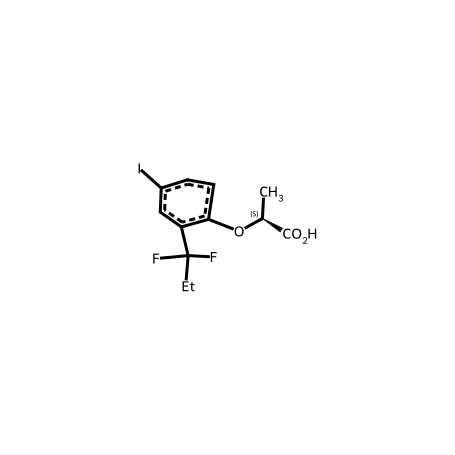 CCC(F)(F)c1cc(I)ccc1O[C@@H](C)C(=O)O